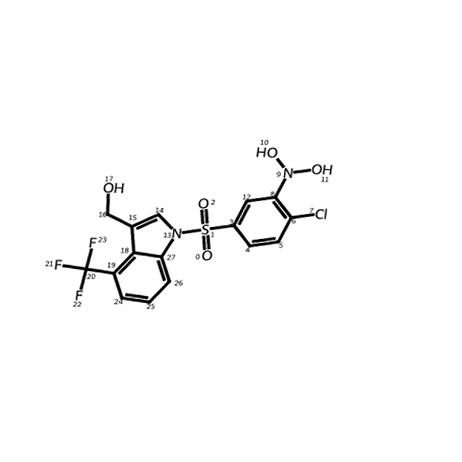 O=S(=O)(c1ccc(Cl)c(N(O)O)c1)n1cc(CO)c2c(C(F)(F)F)cccc21